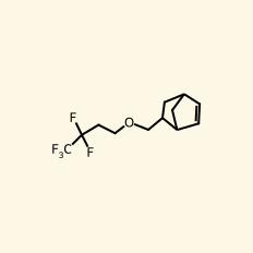 FC(F)(F)C(F)(F)CCOCC1CC2C=CC1C2